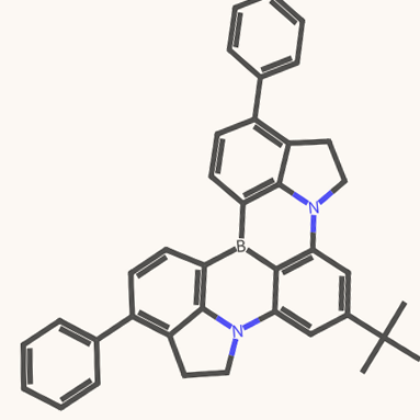 CC(C)(C)c1cc2c3c(c1)N1CCc4c(-c5ccccc5)ccc(c41)B3c1ccc(-c3ccccc3)c3c1N2CC3